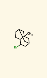 CC12CC3CCC1C(Br)CC(C3)C2